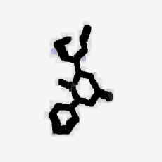 C=C/C=C(\C=C/C)C1CC(=O)CC(c2ccccc2)N1C